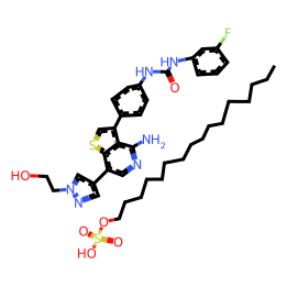 CCCCCCCCCCCCCCCCOS(=O)(=O)O.Nc1ncc(-c2cnn(CCO)c2)c2scc(-c3ccc(NC(=O)Nc4cccc(F)c4)cc3)c12